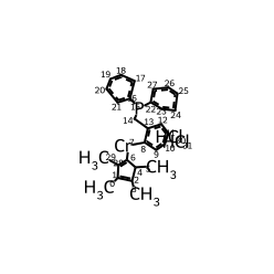 CC1=C(C)C(C)[C]([Cr][c]2ccccc2CP(c2ccccc2)c2ccccc2)=C1C.Cl.Cl